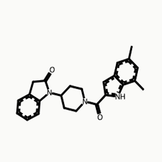 Cc1cc(C)c2[nH]c(C(=O)N3CCC(N4C(=O)Cc5ccccc54)CC3)cc2c1